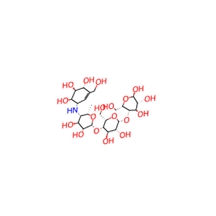 C[C@@H]1O[C@H](O[C@H]2[C@H](O)[C@@H](O)[C@@H](O[C@H]3[C@H](O)[C@@H](O)[C@H](O)O[C@H]3CO)O[C@H]2CO)[C@H](O)[C@@H](O)[C@@H]1N[C@H]1C=C(CO)[C@@H](O)[C@H](O)[C@@H]1O